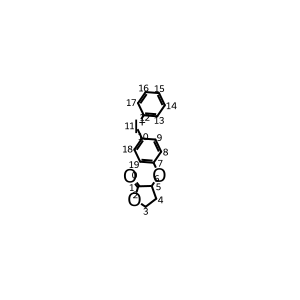 O=C1OCCC1Oc1ccc([I+]c2ccccc2)cc1